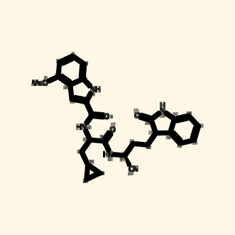 COc1cccc2[nH]c(C(=O)NC(CC3CC3)C(=O)N[C@H](C#N)CCC3C(=O)Nc4ccccc43)cc12